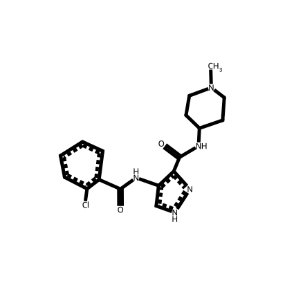 CN1CCC(NC(=O)c2n[nH]cc2NC(=O)c2ccccc2Cl)CC1